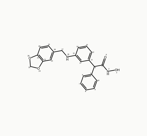 O=C(NO)C(c1ccccc1)c1cccc(NCc2ccc3c(c2)OCO3)c1